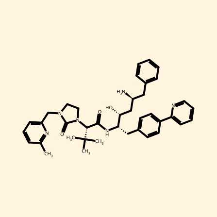 Cc1cccc(CN2CCN([C@H](C(=O)N[C@@H](Cc3ccc(-c4ccccn4)cc3)[C@H](O)C[C@@H](N)Cc3ccccc3)C(C)(C)C)C2=O)n1